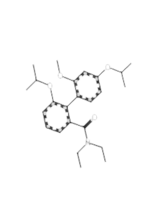 CCN(CC)C(=O)c1cccc(OC(C)C)c1-c1ccc(OC(C)C)cc1OC